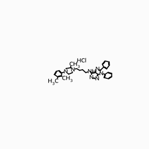 Cc1cccc(N2CCN(CCCCNc3ncnc4c3nc(-c3ccccc3)n4-c3ccccc3)C(C)C2)c1C.Cl